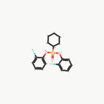 O=P(Oc1ccccc1F)(Oc1ccccc1F)C1CCCCC1